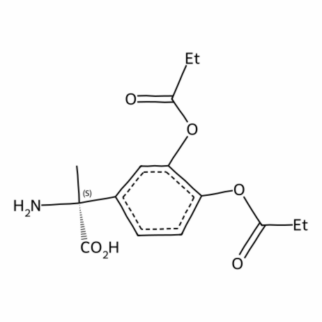 CCC(=O)Oc1ccc([C@](C)(N)C(=O)O)cc1OC(=O)CC